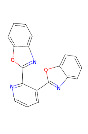 c1cnc(-c2nc3ccccc3o2)c(-c2nc3ccccc3o2)c1